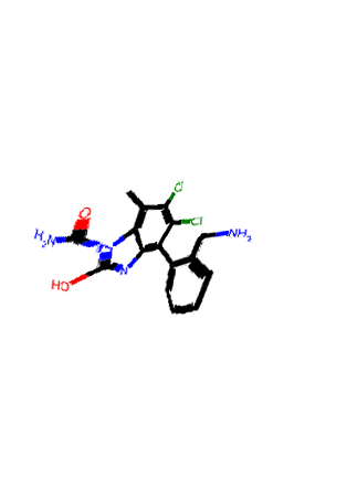 Cc1c(Cl)c(Cl)c(-c2ccccc2CN)c2nc(O)n(C(N)=O)c12